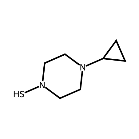 SN1CCN(C2CC2)CC1